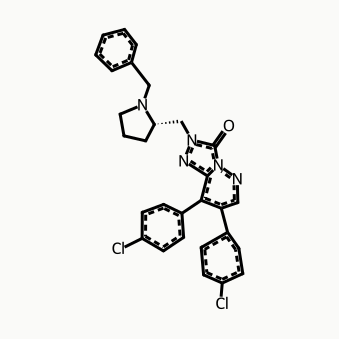 O=c1n(C[C@@H]2CCCN2Cc2ccccc2)nc2c(-c3ccc(Cl)cc3)c(-c3ccc(Cl)cc3)cnn12